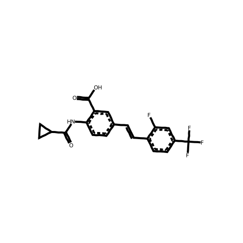 O=C(O)c1cc(C=Cc2ccc(C(F)(F)F)cc2F)ccc1NC(=O)C1CC1